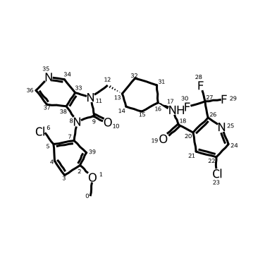 COc1ccc(Cl)c(-n2c(=O)n(C[C@H]3CC[C@H](NC(=O)c4cc(Cl)cnc4C(F)(F)F)CC3)c3cnccc32)c1